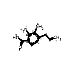 C=CCc1ccc(C(=O)O)c(N)c1N